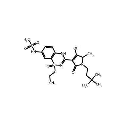 CCOP1(=O)N=C(C2=C(O)C(C)N(CCC(C)(C)C)C2=O)Nc2ccc(NS(C)(=O)=O)cc21